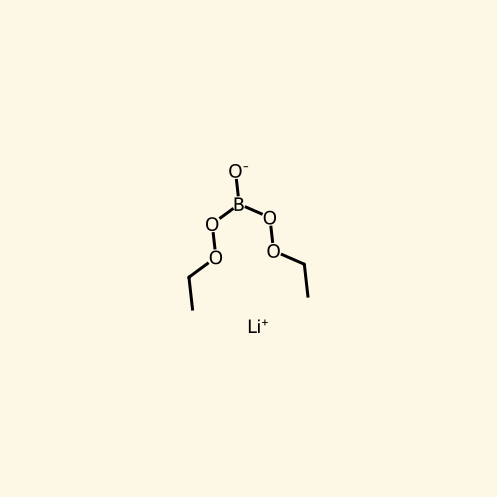 CCOOB([O-])OOCC.[Li+]